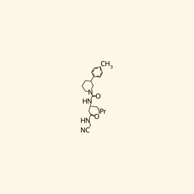 Cc1ccc(C2CCCN(C(=O)NC(CC(=O)NCC#N)CC(C)C)C2)cc1